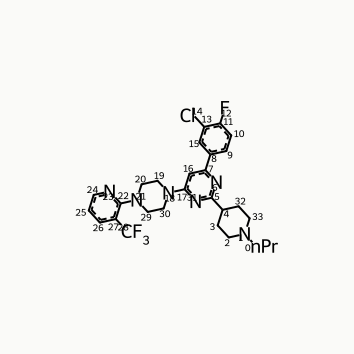 CCCN1CCC(c2nc(-c3ccc(F)c(Cl)c3)cc(N3CCN(c4ncccc4C(F)(F)F)CC3)n2)CC1